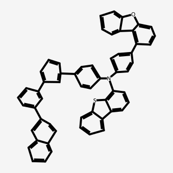 c1cc(-c2ccc(N(c3ccc(-c4cccc5oc6ccccc6c45)cc3)c3cccc4c3sc3ccccc34)cc2)cc(-c2cccc(-c3ccc4ccccc4c3)c2)c1